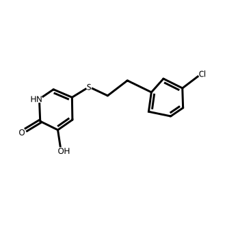 O=c1[nH]cc(SCCc2cccc(Cl)c2)cc1O